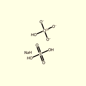 O=S(=O)(O)O.[NaH].[O-][Cl+3]([O-])([O-])O